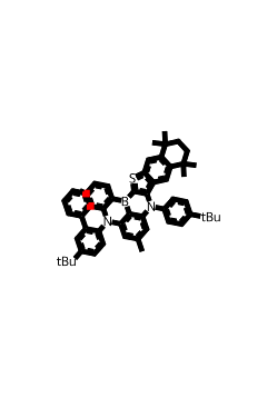 Cc1ccc2c(c1)N(c1ccc(C(C)(C)C)cc1-c1ccccc1)c1cc(C)cc3c1B2c1sc2cc4c(cc2c1N3c1ccc(C(C)(C)C)cc1)C(C)(C)CCC4(C)C